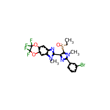 CC[S+]([O-])c1c(-c2nc3cc4c(cc3n2C)OC(F)(F)C(F)(F)O4)nc(-c2cccc(Br)c2)n1C